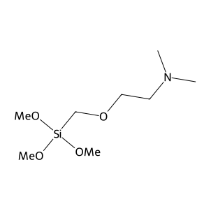 CO[Si](COCCN(C)C)(OC)OC